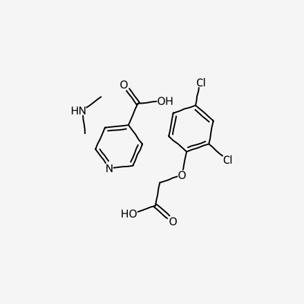 CNC.O=C(O)COc1ccc(Cl)cc1Cl.O=C(O)c1ccncc1